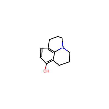 Oc1[c]cc2c3c1CCCN3CCC2